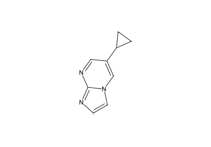 [c]1cn2cc(C3CC3)cnc2n1